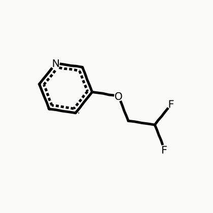 FC(F)COc1[c]ccnc1